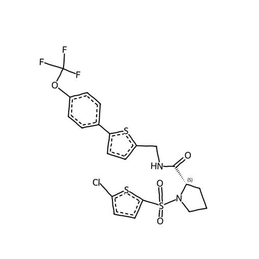 O=C(NCc1ccc(-c2ccc(OC(F)(F)F)cc2)s1)[C@@H]1CCCN1S(=O)(=O)c1ccc(Cl)s1